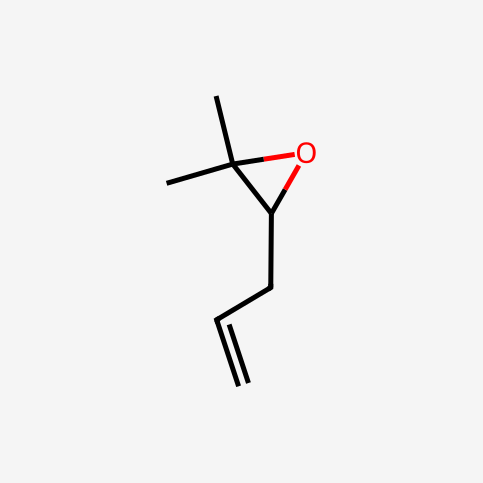 C=CCC1OC1(C)C